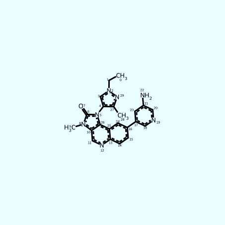 CCn1cc(-n2c(=O)n(C)c3cnc4ccc(-c5cncc(N)c5)cc4c32)c(C)n1